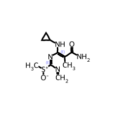 C=N/C(=N\C(NC1CC1)=C(/C)C(N)=O)[S+](C)[O-]